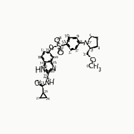 COC[C@@H]1CCCN1c1ccc(S(=O)(=O)Oc2ccc3[nH]c(NC(=O)C4CC4)nc3c2)cc1